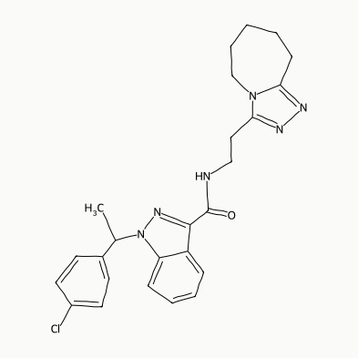 CC(c1ccc(Cl)cc1)n1nc(C(=O)NCCc2nnc3n2CCCCC3)c2ccccc21